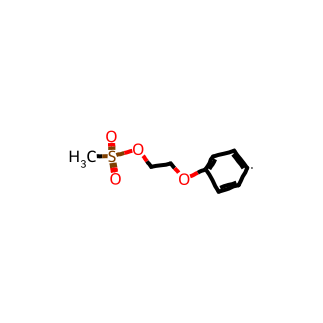 CS(=O)(=O)OCCOc1cc[c]cc1